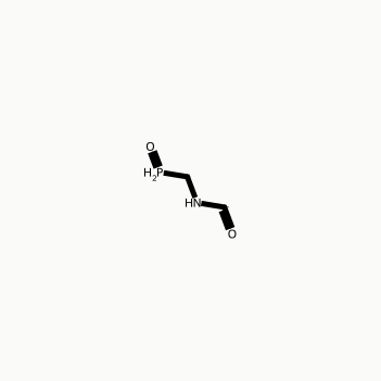 O=[C]NC[PH2]=O